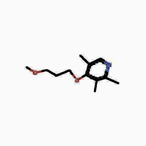 COCCCOc1c(C)cnc(C)c1C